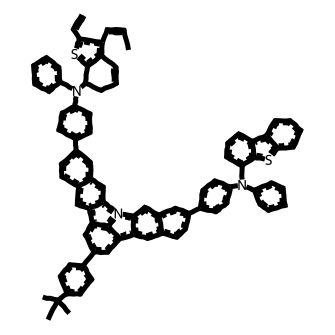 C=Cc1sc2c(c1/C=C\C)C=CCC2N(c1ccccc1)c1ccc(-c2ccc3cc4c5cc(-c6ccc(C(C)(C)C)cc6)cc6c7cc8ccc(-c9ccc(N(c%10ccccc%10)c%10cccc%11c%10sc%10ccccc%10%11)cc9)cc8cc7n(c4cc3c2)c65)cc1